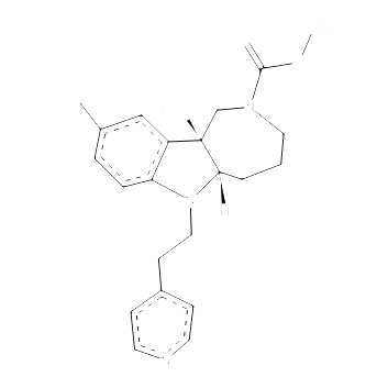 Cc1ccc2c(c1)[C@]1(C)CN(C(=O)OC(C)(C)C)CCC[C@@H]1N2CCc1ccncc1